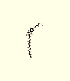 CCCCOc1ccc(S(=O)(=O)NCCOCCOCCOCCN=[N+]=[N-])cc1